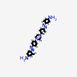 Cc1cc(N)ccc1/N=N/c1ccc(N2CCN(c3ccc(/N=N/c4ccc(N)cc4C)cc3)CC2)cc1